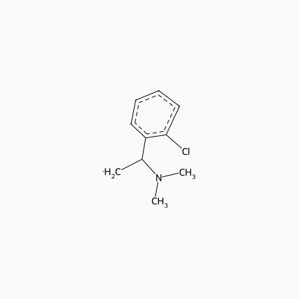 [CH2]C(c1ccccc1Cl)N(C)C